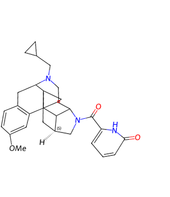 COc1ccc2c(c1)C13CCN(CC4CC4)C(C2)C12CCC1C3[C@@H](CN1C(=O)c1cccc(=O)[nH]1)C2